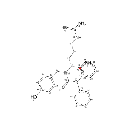 N=C(N)NCCC[C@H](C(N)=O)N(Cc1ccc(O)cc1)C(=O)C(c1ccccc1)c1ccccc1